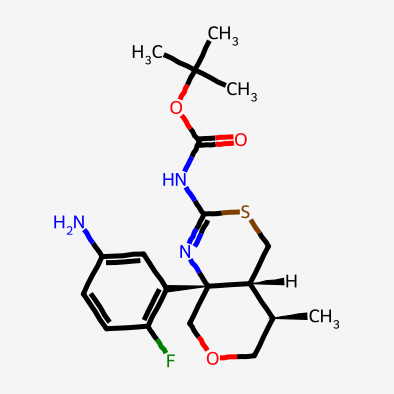 C[C@H]1COC[C@]2(c3cc(N)ccc3F)N=C(NC(=O)OC(C)(C)C)SC[C@H]12